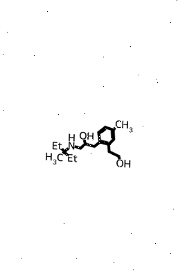 CCC(C)(CC)NCC(O)Cc1ccc(C)cc1CCO